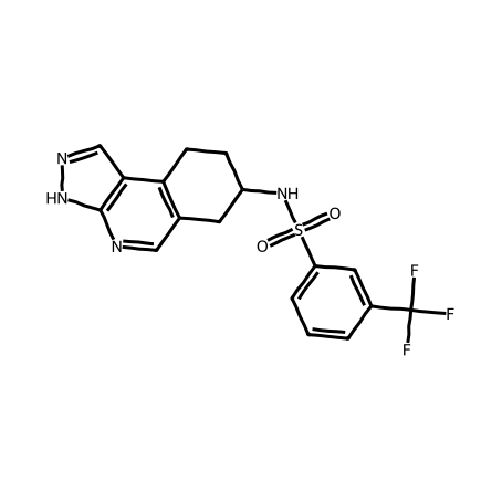 O=S(=O)(NC1CCc2c(cnc3[nH]ncc23)C1)c1cccc(C(F)(F)F)c1